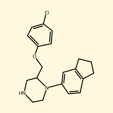 Clc1ccc(OCC2CNCCN2c2ccc3c(c2)CCC3)cc1